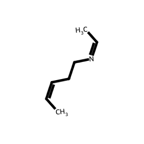 C/C=C\CC/N=C\C